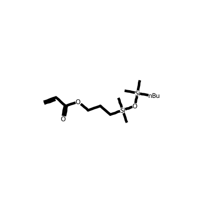 C=CC(=O)OCCC[Si](C)(C)O[Si](C)(C)CCCC